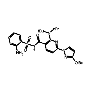 CCCN(c1nc(-n2ccc(OCC(C)C)n2)ccc1C(=O)NS(=O)(=O)c1cccnc1N)C(C)(C)C